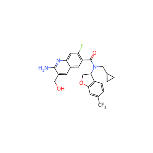 Nc1nc2cc(F)c(C(=O)N(CC3CC3)C3COc4cc(C(F)(F)F)ccc43)cc2cc1CO